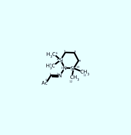 CC(=O)C=NN1[Si](C)(C)CCC[Si]1(C)C